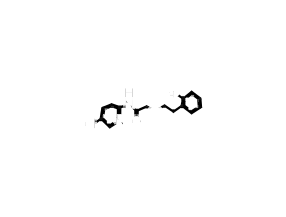 O=C(COCCc1ccccc1Br)Nc1ccc(Cl)cn1